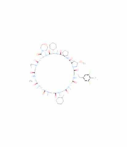 CCO[C@@H]1C[C@H]2C(=O)NC3(CCCC3)C(=O)N(C)[C@@H](C3CCCCC3)C(=O)N(C)[C@H](C(=O)N3CCOCC3)CC(=O)N(C)[C@@H](CC(C)C)C(=O)N[C@@H]([C@@H](C)CC)C(=O)N(C)CC(=O)N(C)CC(=O)N(C)[C@@H](CC3CCCCC3)C(=O)N(C)CC(=O)N[C@@H](CCc3cc(F)c(C(F)(F)F)c(F)c3)C(=O)N2C1